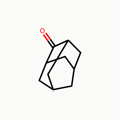 O=C1C2C[C]3CC(C2)CC1C3